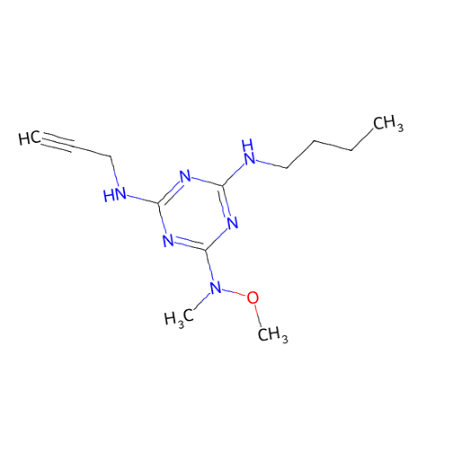 C#CCNc1nc(NCCCC)nc(N(C)OC)n1